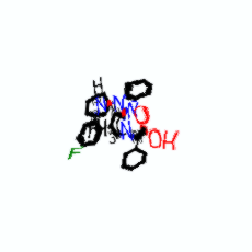 Cc1nc2ccccc2n1[C@@H]1C[C@H]2CC[C@@H](C1)N2C[C@H]1CN([C@@H](C(=O)O)C2CCCCC2)C[C@@H]1c1cccc(F)c1